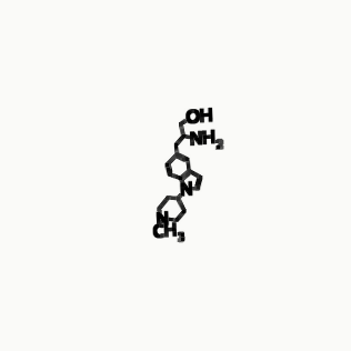 CN1CCC(n2ccc3cc(CC(N)CO)ccc32)CC1